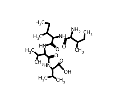 CCC(C)C(N)C(=O)NC(C(=O)NC(C(=O)NC(C(=O)O)C(C)C)C(C)C)C(C)CC